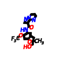 CC1(CO)Cc2cc(NC(=O)c3cnn4cccnc34)c(OC(F)(F)F)cc2O1